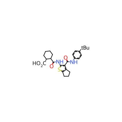 CC(C)(C)c1ccc(NC(=O)c2c(NC(=O)C3CCCCC3C(=O)O)sc3c2CCC3)cc1